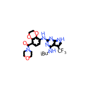 CC[C@H](C)Nc1nc(Nc2ccc(C(=O)N3CCOCC3)c3c2OCCO3)nc2[nH]cc(C(F)(F)F)c12